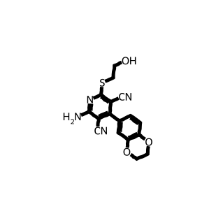 N#Cc1c(N)nc(SCCO)c(C#N)c1-c1ccc2c(c1)OCCO2